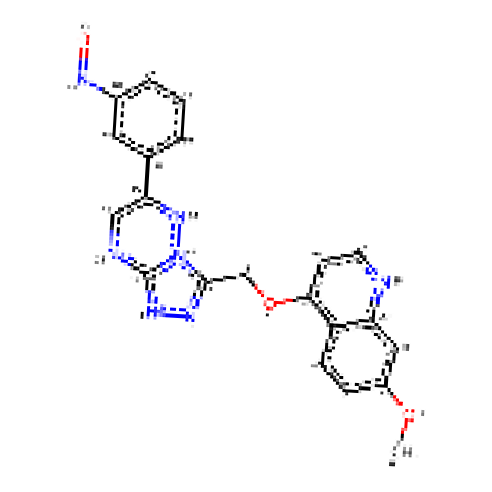 COc1ccc2c(OCc3nnc4ncc(-c5cccc(N=O)c5)nn34)ccnc2c1